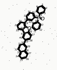 O=P(c1ccccc1)(c1ccccc1)c1cccc(-c2cccc3c2oc2ccc(-c4ccc5ccccc5c4)cc23)c1